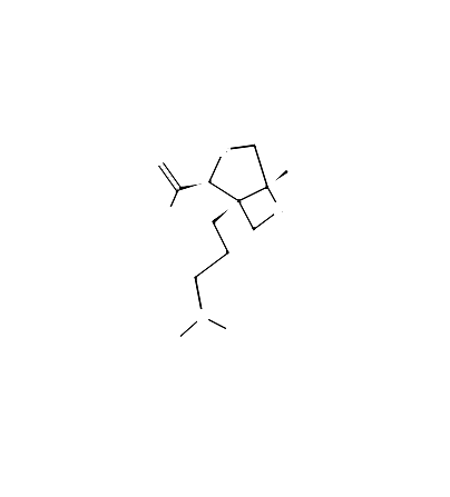 CB(O)CCC[C@]12CN[C@H]1CN[C@@H]2C(=O)O